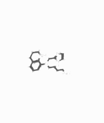 NCCCCN(Cc1ncc[nH]1)c1cccc2c1NCCC2